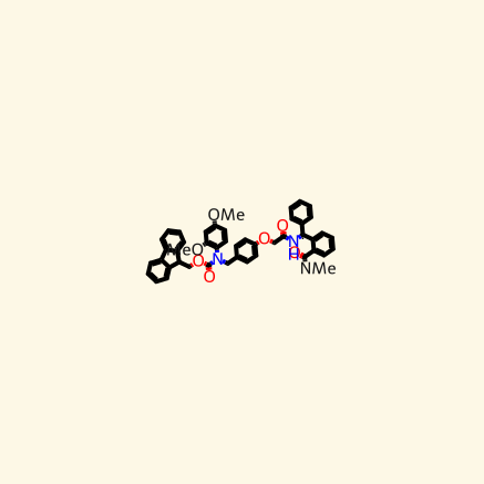 CNC(=O)c1ccccc1[C](NC(=O)COc1ccc(CN(C(=O)OCC2c3ccccc3-c3ccccc32)c2ccc(OC)cc2OC)cc1)c1ccccc1